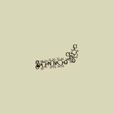 C[C@@]1(c2ccc(Cl)cc2Cl)OC[C@@H](COc2ccc(N3CCN(c4ccc([N+](=O)[O-])cc4)CC3)cc2)O1